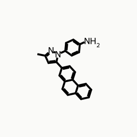 Cc1cc(-c2ccc3c(ccc4ccccc43)c2)n(-c2ccc(N)cc2)n1